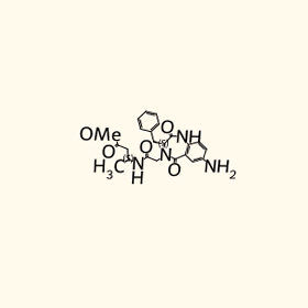 COC(=O)C[C@H](C)NC(=O)CN1C(=O)c2cc(N)ccc2NC(=O)[C@@H]1Cc1ccccc1